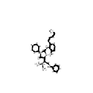 C/C=C\C=C/c1cccc(O)c1N=C1S/C(=C(\CSc2ccccc2)N(C)C)C(=O)N1C1CCCCC1